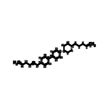 C=CCCC[C@H]1CC[C@H](c2ccc(-c3ccc(COCCC=C)cc3)cc2)CC1